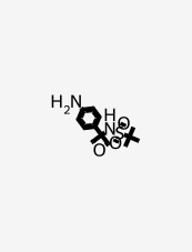 CC(C)(C)S(=O)(=O)NC1(c2ccc(N)cc2)COC1